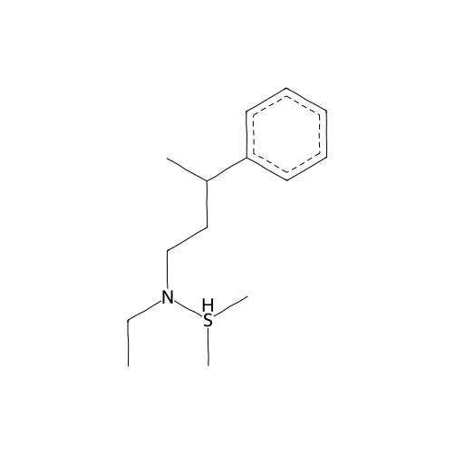 CCN(CCC(C)c1ccccc1)[SH](C)C